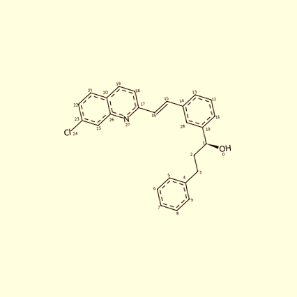 O[C@@H](CCc1ccccc1)c1cccc(/C=C/c2ccc3ccc(Cl)cc3n2)c1